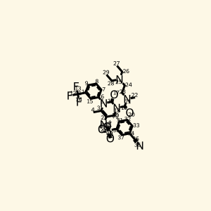 [C-]#[N+]C1=C(C)N(c2cccc(C(F)(F)F)c2)C(=O)N(C(=O)N(C)CCN(CC)CC)[C@@H]1c1ccc(C#N)cc1S(C)(=O)=O